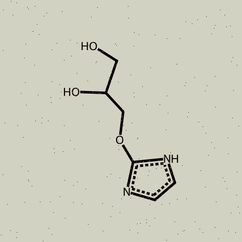 OCC(O)COc1ncc[nH]1